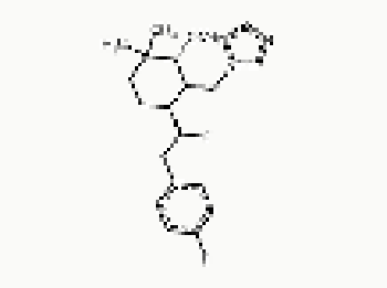 CO[C@@H]1[C@@H](Cn2cncn2)[C@@H](C(F)Cc2ccc(F)cc2)CCC1(C)C